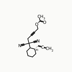 C=C=C[C@@H]1CCCCC1C(C#N)(C#N)CC#CCOC(C)=O